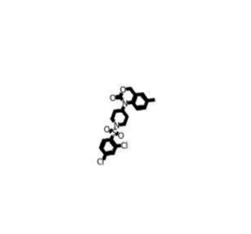 Cc1ccc2c(c1)COC(=O)N2C1CCN(S(=O)(=O)c2ccc(Cl)cc2Cl)CC1